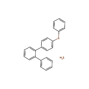 S.c1ccc(Sc2ccc(-c3ccccc3-c3ccccc3)cc2)cc1